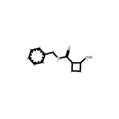 O=CC1CCC1C(=O)OCc1ccccc1